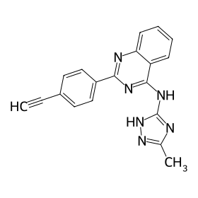 C#Cc1ccc(-c2nc(Nc3nc(C)n[nH]3)c3ccccc3n2)cc1